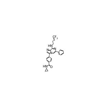 O=C(NC1CC1)c1ccc(-c2cnc3c(NCCSC(F)(F)F)nc(-c4ccccc4)cn23)cc1